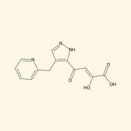 O=C(O)C(O)=CC(=O)c1[nH]ncc1Cc1ccccn1